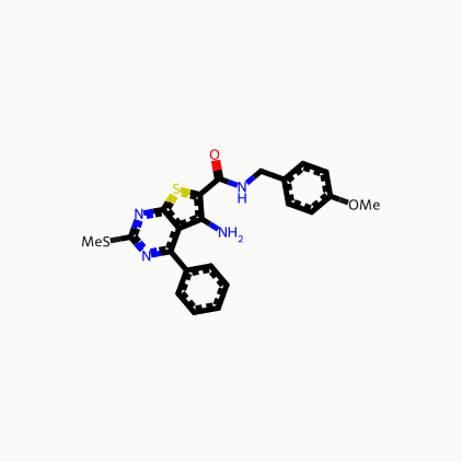 COc1ccc(CNC(=O)c2sc3nc(SC)nc(-c4ccccc4)c3c2N)cc1